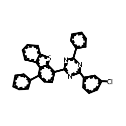 Clc1cccc(-c2nc(-c3ccccc3)nc(-c3ccc(-c4ccccc4)c4c3sc3ccccc34)n2)c1